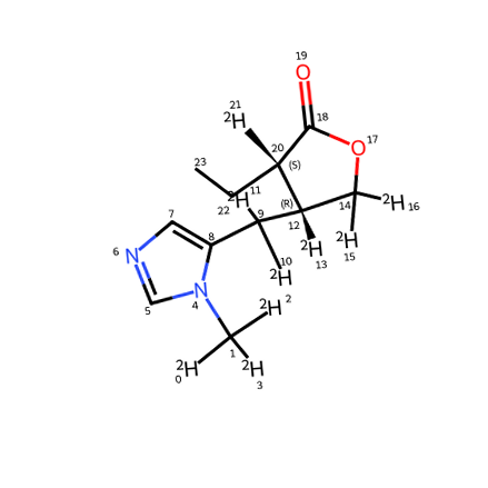 [2H]C([2H])([2H])n1cncc1C([2H])([2H])[C@@]1([2H])C([2H])([2H])OC(=O)[C@@]1([2H])CC